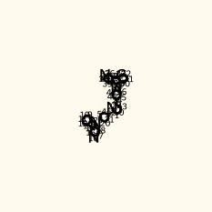 c1cc(-c2ccc(-n3c4ccccc4c4cnccc43)cc2)nc(-c2ccc(-n3c4ccccc4c4cnccc43)cc2)c1